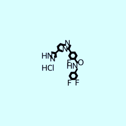 Cl.O=C(NCc1ccc(F)c(F)c1)c1ccc(-c2cnc3ccc(-c4cn[nH]c4)cn23)cc1F